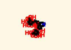 C=C(C)[C@@]12CCN(C)Cc3ccc(O[C@@H]4O[C@H](C(=O)O)[C@@H](O)[C@H](O)[C@H]4O)c(c31)O[C@H]2C[C@H](C)O[C@@H]1O[C@H](C(=O)O)[C@@H](O)[C@H](O)[C@H]1O